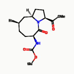 CC[C@@H]1CC[C@H](NC(=O)OC(C)(C)C)C(=O)N2[C@H](CC[C@H]2C(=O)OC)C1